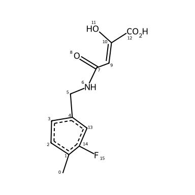 Cc1ccc(CNC(=O)C=C(O)C(=O)O)cc1F